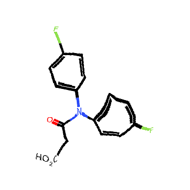 O=C(O)CC(=O)N(c1ccc(F)cc1)c1ccc(F)cc1